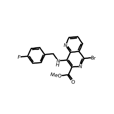 COC(=O)c1nc(Br)c2cccnc2c1NCc1ccc(F)cc1